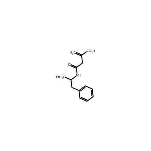 C=C(CC(=O)NC(Cc1ccccc1)C(=O)OCC)C(=O)O